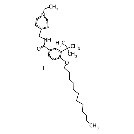 CCCCCCCCCCCCOc1ccc(C(=O)NCc2cc[n+](CC)cc2)cc1C(C)(C)C.[I-]